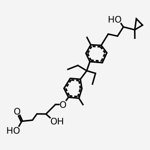 CCC(CC)(c1ccc(CCC(O)C2(C)CC2)c(C)c1)c1ccc(OCC(O)CCC(=O)O)c(C)c1